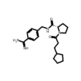 N=C(N)c1ccc(CNC(=O)[C@@H]2CCCN2C(=O)CCC2CCCC2)cc1